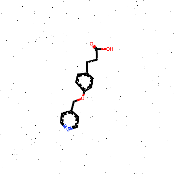 O=C(O)CCc1ccc(OCc2ccncc2)cc1